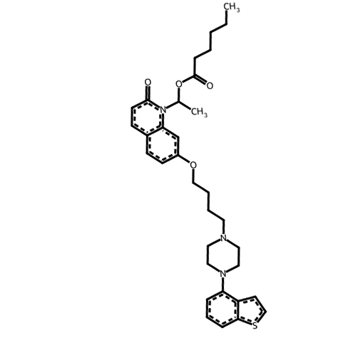 CCCCCC(=O)OC(C)n1c(=O)ccc2ccc(OCCCCN3CCN(c4cccc5sccc45)CC3)cc21